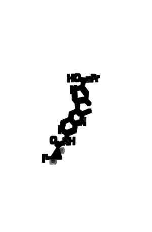 CCC[C@H](O)c1cc(C)c(-c2cc3cnc(NC(=O)[C@H]4C[C@H]4F)cc3nc2C)cn1